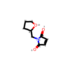 O=C1C=CC(=O)N1CC1CCCO1